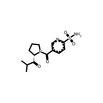 CC(C)C(=O)[C@@H]1CCCN1C(=O)c1ccc(S(N)(=O)=O)nc1